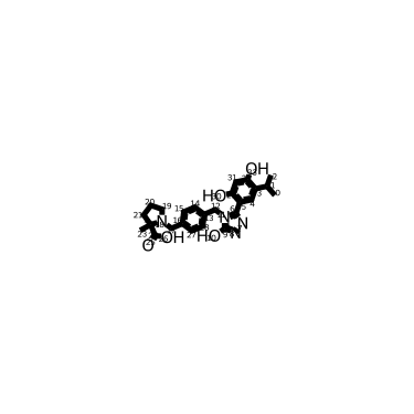 CC(C)c1cc(-c2nnc(O)n2Cc2ccc(CN3CCCC3(C)C(=O)O)cc2)c(O)cc1O